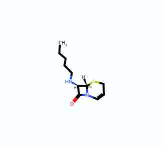 CCCCCN[C@@H]1C(=O)N2C=CCS[C@@H]12